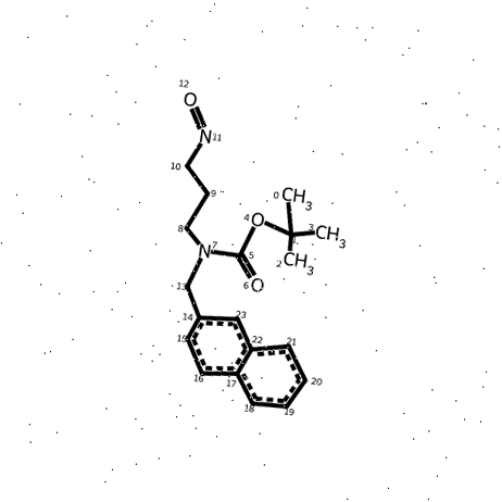 CC(C)(C)OC(=O)N(CCCN=O)Cc1ccc2ccccc2c1